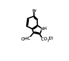 CCOC(=O)c1[nH]c2cc(Br)ccc2c1C=O